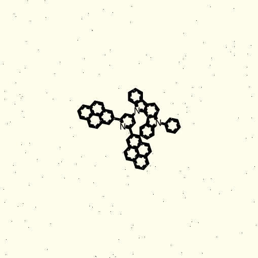 c1ccc(-n2c3ccccc3c3c2ccc2c4ccccc4n(-c4cc(-c5cc6ccc7cccc8ccc(c5)c6c78)nc(-c5cc6ccc7cccc8ccc(c5)c6c78)c4)c23)cc1